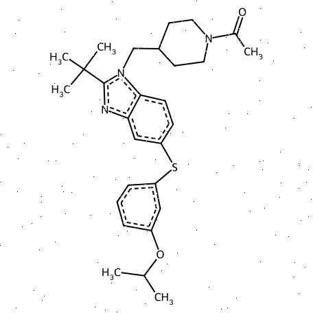 CC(=O)N1CCC(Cn2c(C(C)(C)C)nc3cc(Sc4cccc(OC(C)C)c4)ccc32)CC1